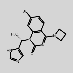 C[C@@H](c1cnc[nH]1)n1c(=O)nc(N2CCC2)c2ccc(Br)cc21